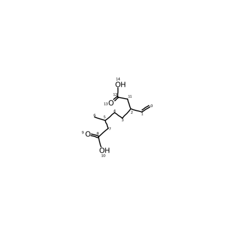 C=CC(CCC(C)CC(=O)O)CC(=O)O